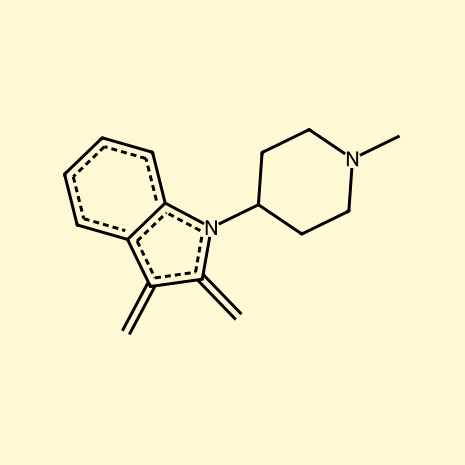 C=c1c(=C)n(C2CCN(C)CC2)c2ccccc12